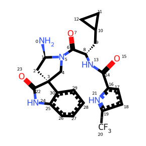 N[C@@H]1C[C@@]2(CN1C(=O)[C@H](CC1CC1)NC(=O)c1ccc(C(F)(F)F)[nH]1)C(=O)Nc1ccccc12